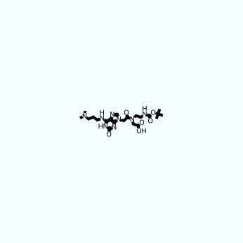 CN(C)CCCNc1[nH]c(=O)nc2c1ncn2CC(=O)N(CCNC(=O)OC(C)(C)C)CC(=O)O